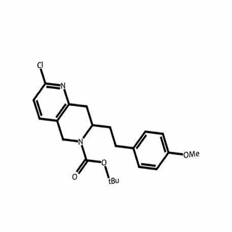 COc1ccc(CCC2Cc3nc(Cl)ccc3CN2C(=O)OC(C)(C)C)cc1